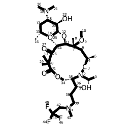 CCN1C[C@H](C)C[C@@](C)(OC)[C@H](O[C@@H]2O[C@H](C)C[C@H](N(C)C)[C@H]2O)[C@@H](C)C(=O)C(C)(C)C(=O)OC[C@H]1[C@H](O)CCN(C)CC(F)(F)F